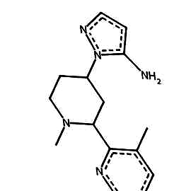 Cc1cccnc1C1CC(n2nccc2N)CCN1C